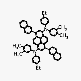 CCc1ccc(N(c2ccc(C)c(C)c2)c2cc(-c3ccc4ccccc4c3)c3ccc4c(N(c5ccc(CC)cc5)c5ccc(C)c(C)c5)cc(-c5ccc6ccccc6c5)c5ccc2c3c54)cc1